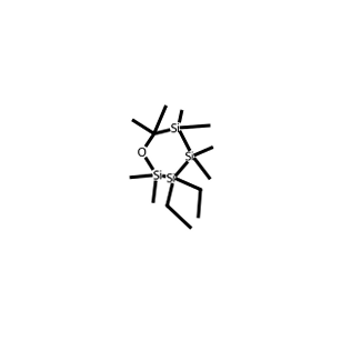 CC[Si]1(CC)[Si](C)(C)OC(C)(C)[Si](C)(C)[Si]1(C)C